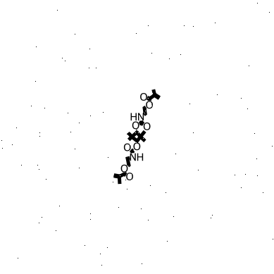 C=C(C)C(=O)OCCNC(=O)O[C@H]1C(C)(C)[C@H](OC(=O)NCCOC(=O)C(=C)C)C1(C)C